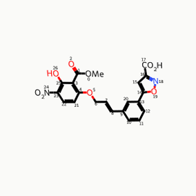 COC(=O)c1c(OCC=Cc2cccc(-c3cc(C(=O)O)no3)c2)ccc([N+](=O)[O-])c1O